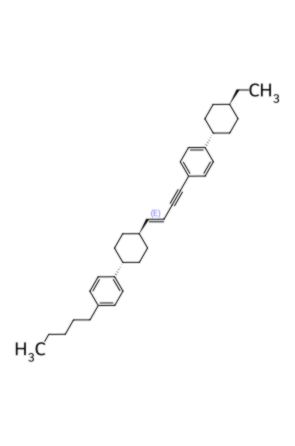 CCCCCc1ccc([C@H]2CC[C@H](/C=C/C#Cc3ccc([C@H]4CC[C@H](CC)CC4)cc3)CC2)cc1